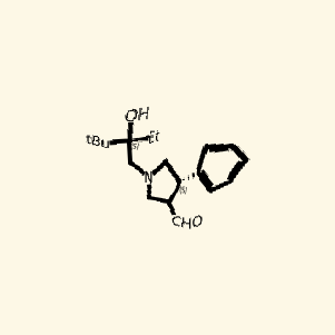 CC[C@@](O)(CN1CC(C=O)[C@@H](c2ccccc2)C1)C(C)(C)C